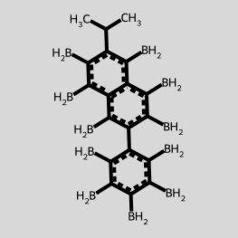 Bc1c(B)c(B)c(-c2c(B)c(B)c3c(B)c(C(C)C)c(B)c(B)c3c2B)c(B)c1B